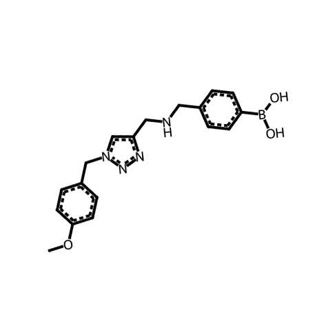 COc1ccc(Cn2cc(CNCc3ccc(B(O)O)cc3)nn2)cc1